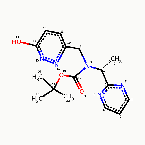 C[C@H](c1ncccn1)N(Cc1ccc(O)nn1)C(=O)OC(C)(C)C